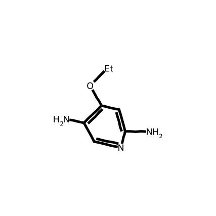 CCOc1cc(N)ncc1N